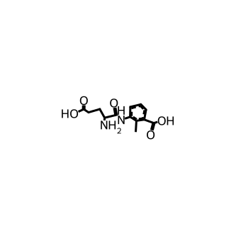 Cc1c(NC(=O)C(N)CCC(=O)O)cccc1C(=O)O